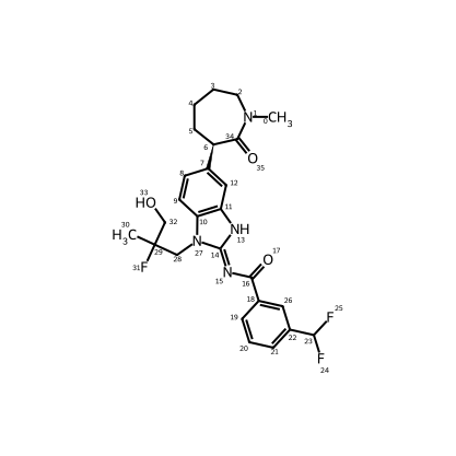 CN1CCCC[C@H](c2ccc3c(c2)[nH]/c(=N\C(=O)c2cccc(C(F)F)c2)n3CC(C)(F)CO)C1=O